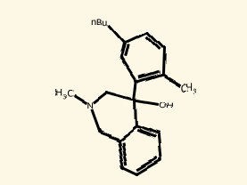 CCCCc1ccc(C)c(C2(O)CN(C)Cc3ccccc32)c1